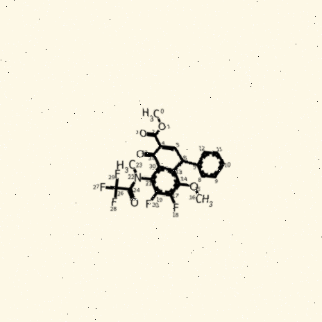 COC(=O)C1=CC(c2ccccc2)c2c(OC)c(F)c(F)c(N(C)C(=O)C(F)(F)F)c2C1=O